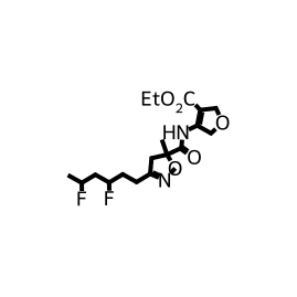 CCOC(=O)C1=C(NC(=O)C2(C)CC(CCC(F)CC(C)F)=NO2)COC1